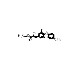 CCOC(=O)/C(C)=C/c1cc(F)c(Oc2ccc(C)cc2)c(F)c1